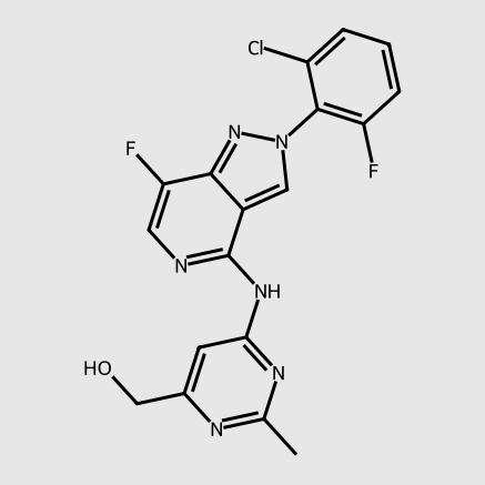 Cc1nc(CO)cc(Nc2ncc(F)c3nn(-c4c(F)cccc4Cl)cc23)n1